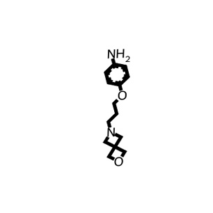 Nc1ccc(OCCCN2CC3(COC3)C2)cc1